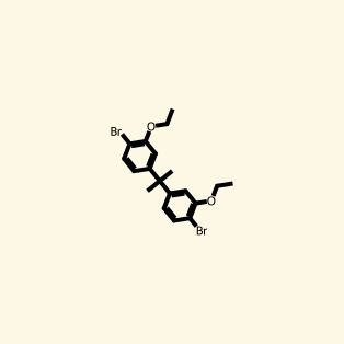 CCOc1cc(C(C)(C)c2ccc(Br)c(OCC)c2)ccc1Br